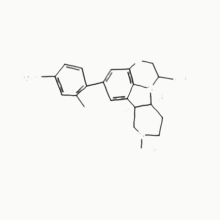 COc1ccc(-c2cc3c4c(c2)[C@@H]2CN(C(=O)O)CC[C@@H]2N4C(C(C)(C)C)CO3)c(C)c1